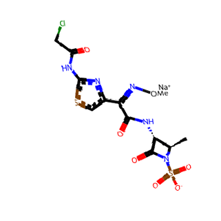 CON=C(C(=O)N[C@H]1C(=O)N(S(=O)(=O)[O-])[C@@H]1C)c1csc(NC(=O)CCl)n1.[Na+]